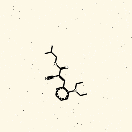 CCN(CC)c1ccccc1C=C(C#N)C(=O)OCC(C)C